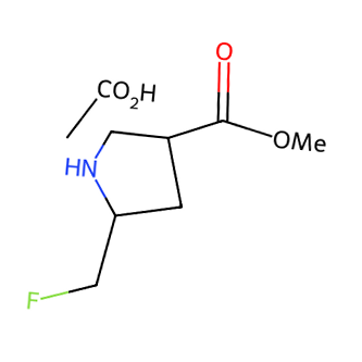 CC(=O)O.COC(=O)C1CNC(CF)C1